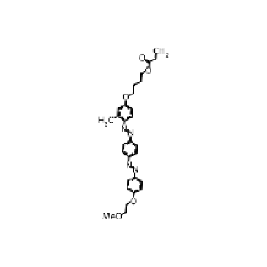 C=CC(=O)OCCCCOc1ccc(/N=N/c2ccc(/N=N/c3ccc(OCCOC)cc3)cc2)c(C)c1